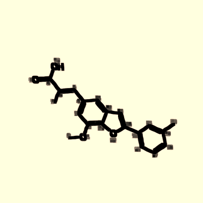 COc1cc(/C=C(\C)C(=O)O)cc2cc(-c3cccc(C)c3)oc12